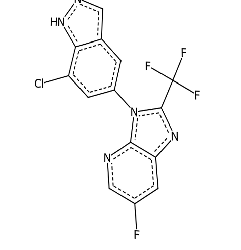 Fc1cnc2c(c1)nc(C(F)(F)F)n2-c1cc(Cl)c2[nH]ncc2c1